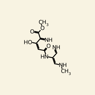 CN/C=C(\C=N)NC(=O)/C=C(/O)C(=N)C(=O)OC